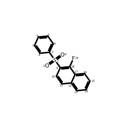 O=S(=O)(c1ccccc1)c1ccc2c[c]ccc2c1F